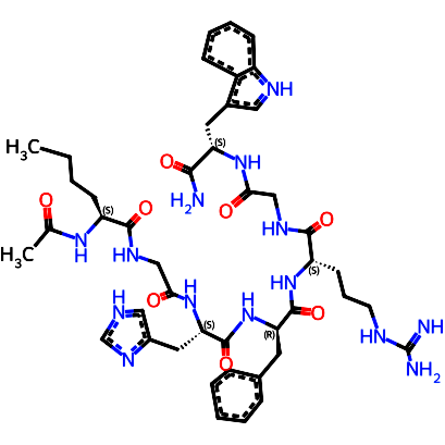 CCCC[C@H](NC(C)=O)C(=O)NCC(=O)N[C@@H](Cc1c[nH]cn1)C(=O)N[C@H](Cc1ccccc1)C(=O)N[C@@H](CCCNC(=N)N)C(=O)NCC(=O)N[C@@H](Cc1c[nH]c2ccccc12)C(N)=O